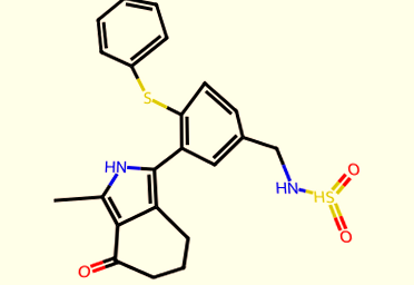 Cc1[nH]c(-c2cc(CN[SH](=O)=O)ccc2Sc2ccccc2)c2c1C(=O)CCC2